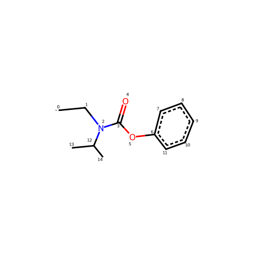 [CH2]CN(C(=O)Oc1ccccc1)C(C)C